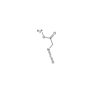 O=C=NCC(=O)OP